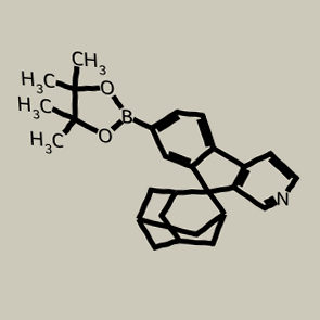 CC1(C)OB(c2ccc3c(c2)C2(c4cnccc4-3)C3CC4CC(C3)CC2C4)OC1(C)C